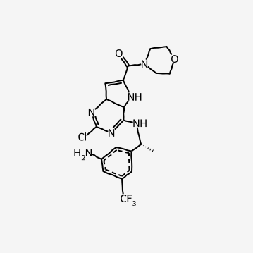 C[C@@H](NC1=NC(Cl)=NC2C=C(C(=O)N3CCOCC3)NC12)c1cc(N)cc(C(F)(F)F)c1